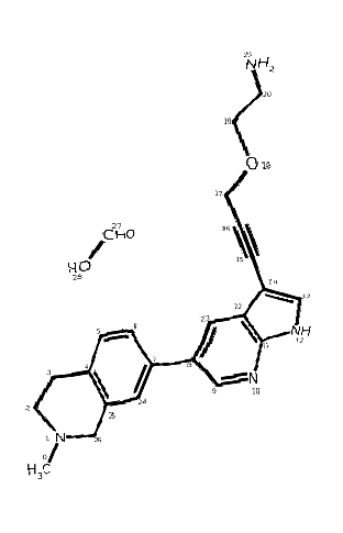 CN1CCc2ccc(-c3cnc4[nH]cc(C#CCOCCN)c4c3)cc2C1.O=CO